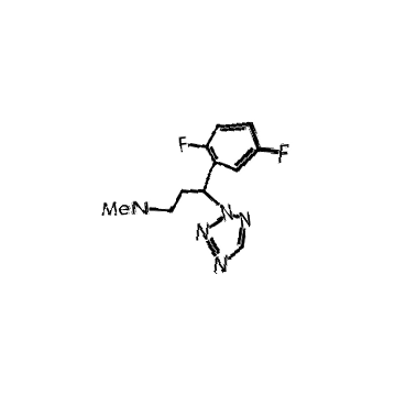 CNCCC(c1cc(F)ccc1F)n1ncnn1